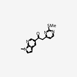 CSc1nccc(CC(=O)c2cnc3c(ccn3C)c2)n1